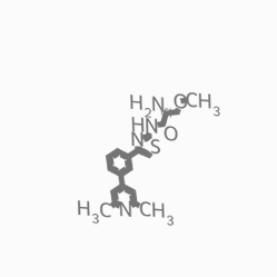 COC[C@H](N)C(=O)Nc1nc(-c2cccc(-c3cc(C)nc(C)c3)c2)cs1